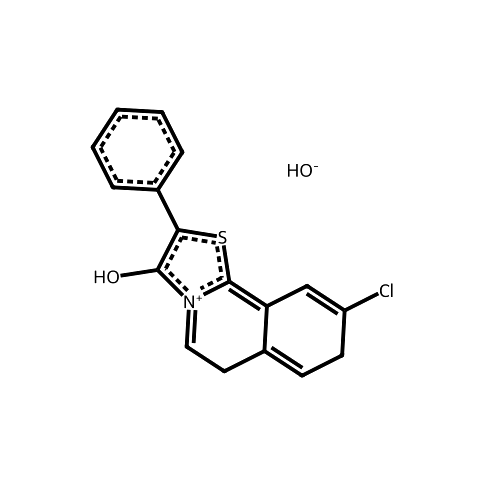 Oc1c(-c2ccccc2)sc2[n+]1=CCC1=CCC(Cl)=CC=21.[OH-]